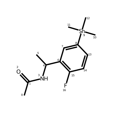 CC(=O)NC(C)c1c[c]([Sn]([CH3])([CH3])[CH3])ccc1F